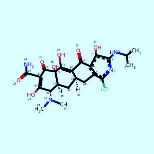 CC(C)Nc1nc(Cl)c2c(c1O)C(=O)C1=C(O)[C@]3(O)C(=O)C(C(N)=O)=C(O)[C@@H](N(C)C)[C@@H]3C[C@@H]1C2